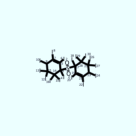 O=S(=O)(C1(I)C(I)=C(I)C(I)C(I)(I)C1(I)I)C1(I)C(I)=C(I)C(I)C(I)(I)C1(I)I